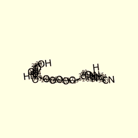 Cc1cc(C#CCOCCOCCOCCOCCOCC#Cc2cn(C3C=CC(CO)O3)c(=O)[nH]c2=O)cc(C)c1Oc1ccnc(Nc2ccc(C#N)cc2)n1